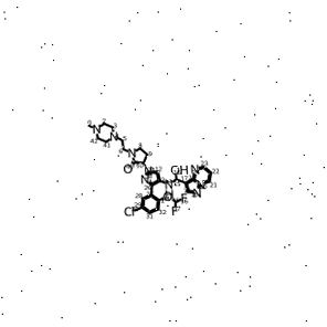 CN1CCN(CCN2CC[C@@H](n3cc(NC(O)c4cnn5cccnc45)c(-c4cc(Cl)ccc4OC(F)F)n3)C2=O)CC1